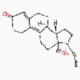 C=C=C[C@]1(O)CC[C@H]2[C@@H]3CCC4=CC(=O)CCC4=C3CCC21CC